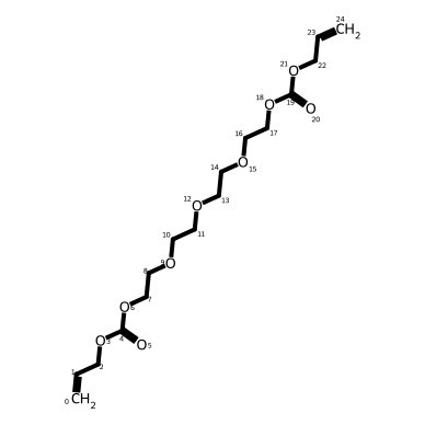 C=CCOC(=O)OCCOCCOCCOCCOC(=O)OCC=C